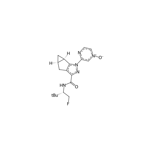 CC(C)(C)[C@@H](CF)NC(=O)c1nn(-c2c[n+]([O-])ccn2)c2c1C[C@H]1C[C@@H]21